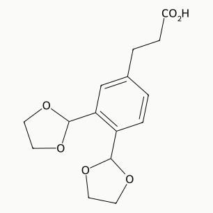 O=C(O)CCc1ccc(C2OCCO2)c(C2OCCO2)c1